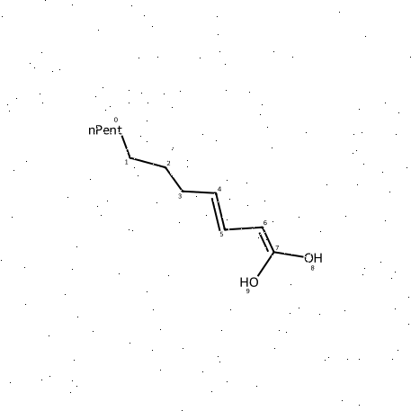 CCCCCCCC/C=C/C=C(O)O